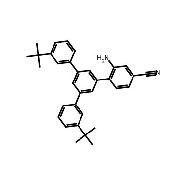 CC(C)(C)c1cccc(-c2cc(-c3cccc(C(C)(C)C)c3)cc(-c3ccc(C#N)cc3N)c2)c1